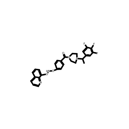 CC(c1cc(F)c(F)c(F)c1)N1CCN(C(=O)c2ccc(ONOc3cccc4cccnc34)cc2)CC1